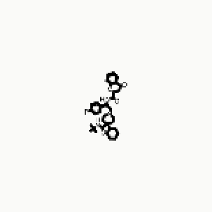 CC(C)(C)NC(=O)C1(C2CCCCC2)CCN(CC(NC(=O)c2cc(=O)c3ccccc3o2)c2ccc(F)cc2)CC1